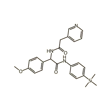 COc1ccc(C(NC(=O)Cc2cccnc2)C(=O)Nc2ccc([Si](C)(C)C)cc2)cc1